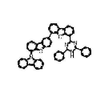 c1ccc(C2=NC(c3cccc4c3oc3c(-c5ccc6oc7c(-n8c9ccccc9c9ccccc98)cccc7c6c5)cccc34)=NC(c3ccccc3)N2)cc1